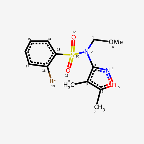 COCN(c1noc(C)c1C)S(=O)(=O)c1ccccc1Br